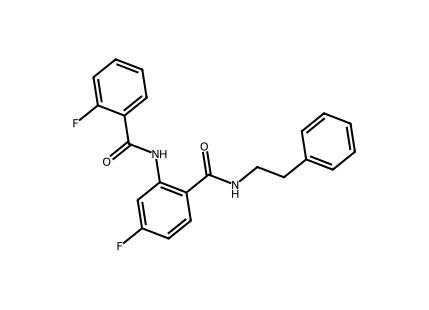 O=C(Nc1cc(F)ccc1C(=O)NCCc1ccccc1)c1ccccc1F